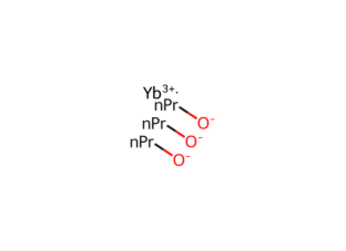 CCC[O-].CCC[O-].CCC[O-].[Yb+3]